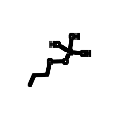 CCCOO[Si](O)(O)O